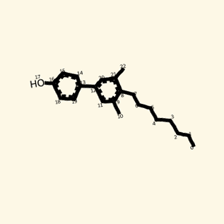 CCCCCCCCc1c(C)cc(-c2ccc(O)cc2)cc1C